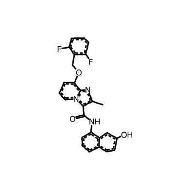 Cc1nc2c(OCc3c(F)cccc3F)cccn2c1C(=O)Nc1cccc2ccc(O)cc12